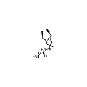 C#CCOCC(C)(COCC#C)NNC(=O)OC(C)(C)C